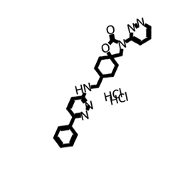 Cl.Cl.O=C1OC2(CCC(CNc3ccc(-c4ccccc4)nn3)CC2)CN1c1cccnn1